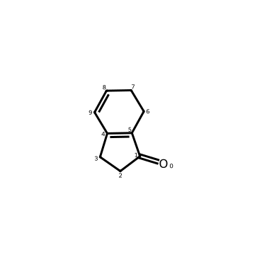 O=C1CCC2=C1CCC=C2